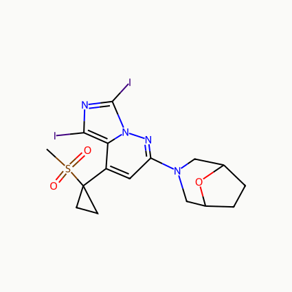 CS(=O)(=O)C1(c2cc(N3CC4CCC(C3)O4)nn3c(I)nc(I)c23)CC1